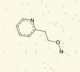 [N]OCCc1ccccn1